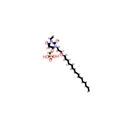 CCCCCCCCCCCCCCCCOCCCn1c(OCP(=O)(O)O)c(F)c(=O)n(CC)c1=O